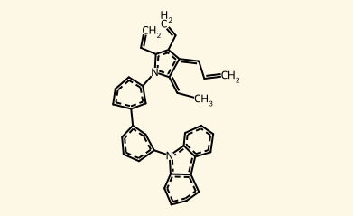 C=C/C=c1/c(C=C)c(C=C)n(-c2cccc(-c3cccc(-n4c5ccccc5c5ccccc54)c3)c2)/c1=C/C